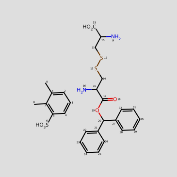 Cc1cccc(S(=O)(=O)O)c1C.NC(CSSCC(N)C(=O)OC(c1ccccc1)c1ccccc1)C(=O)O